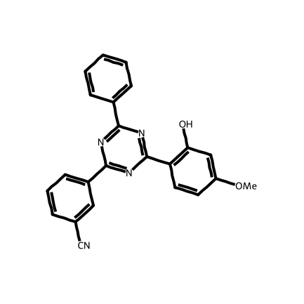 COc1ccc(-c2nc(-c3ccccc3)nc(-c3cccc(C#N)c3)n2)c(O)c1